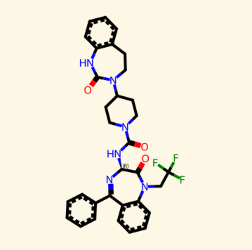 O=C(N[C@@H]1N=C(c2ccccc2)c2ccccc2N(CC(F)(F)F)C1=O)N1CCC(N2CCc3ccccc3NC2=O)CC1